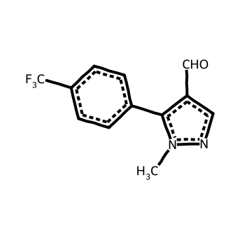 Cn1ncc(C=O)c1-c1ccc(C(F)(F)F)cc1